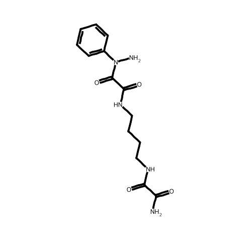 NC(=O)C(=O)NCCCCNC(=O)C(=O)N(N)c1ccccc1